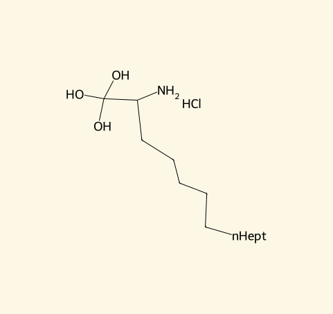 CCCCCCCCCCCCC(N)C(O)(O)O.Cl